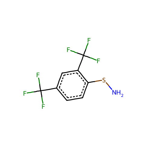 NSc1ccc(C(F)(F)F)cc1C(F)(F)F